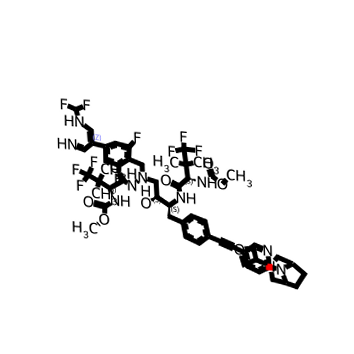 COC(=O)N[C@H](C(=O)N[C@@H](Cc1ccc(C#Cc2ccc(N3C4CCC3CN(C3COC3)C4)nc2)cc1)[C@@H](O)CN(Cc1c(F)cc(/C(C=N)=C/NC(F)F)cc1F)NC(=O)[C@@H](NC(=O)OC)C(C)(C)C(F)(F)F)C(C)(C)C(F)(F)F